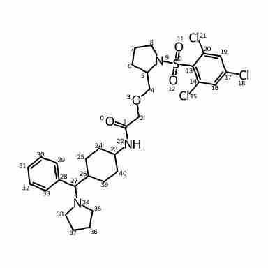 O=C(COCC1CCCN1S(=O)(=O)c1c(Cl)cc(Cl)cc1Cl)NC1CCC(C(c2ccccc2)N2CCCC2)CC1